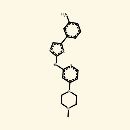 CN1CCN(c2ccnc(Nc3ncc(-c4cccc(N)c4)s3)c2)CC1